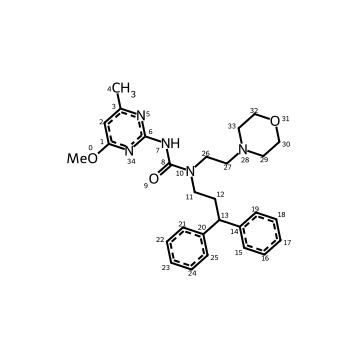 COc1cc(C)nc(NC(=O)N(CCC(c2ccccc2)c2ccccc2)CCN2CCOCC2)n1